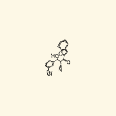 N#CC(C(=O)c1cc2ccccc2o1)C(O)c1cccc(Br)c1